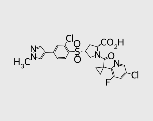 Cn1cc(-c2ccc(S(=O)(=O)[C@@H]3C[C@@H](C(=O)O)N(C(=O)C4(c5ncc(Cl)cc5F)CC4)C3)c(Cl)c2)cn1